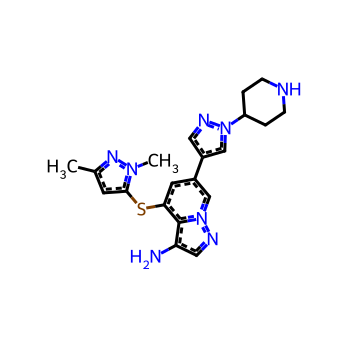 Cc1cc(Sc2cc(-c3cnn(C4CCNCC4)c3)cn3ncc(N)c23)n(C)n1